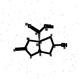 C=C1CN2CC(O)C[C@]2(C(=O)OC)C1